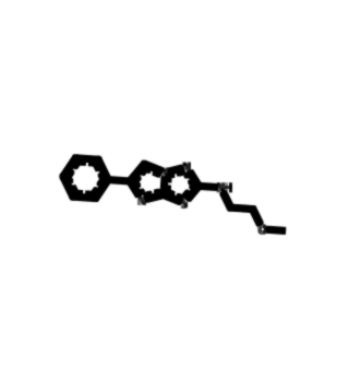 COCCNc1nn2cc(-c3ccccc3)nc2s1